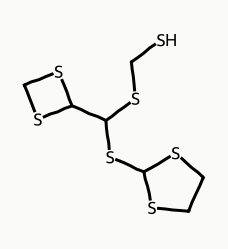 SCSC(SC1SCCS1)C1SCS1